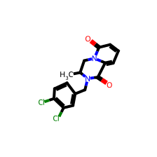 CC1Cn2c(cccc2=O)C(=O)N1Cc1ccc(Cl)c(Cl)c1